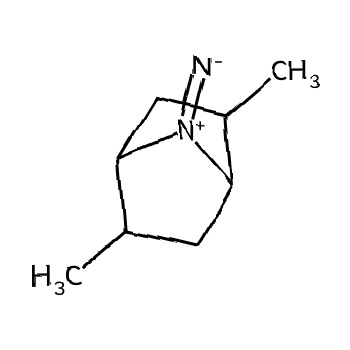 CC1CC2C(C)CC1[N+]2=[N-]